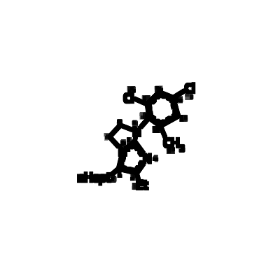 CCCCCCCc1c(CC)nc2n1CCN2c1c(C)cc(Cl)cc1Cl